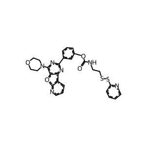 O=C(NCCSSc1ccccn1)Oc1cccc(-c2nc(N3CCOCC3)c3oc4ncccc4c3n2)c1